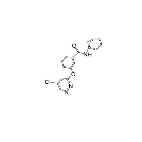 O=C(Nc1ccccc1)c1cccc(Oc2cc(Cl)cnn2)c1